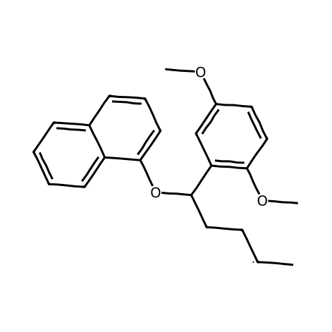 C[CH]CCC(Oc1cccc2ccccc12)c1cc(OC)ccc1OC